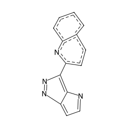 C1=NC2=C(c3ccc4ccccc4n3)N=NC2=C1